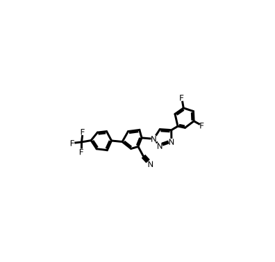 N#Cc1cc(-c2ccc(C(F)(F)F)cc2)ccc1-n1cc(-c2cc(F)cc(F)c2)nn1